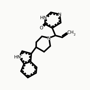 C=CC(c1cnc[nH]c1=O)N1CCC(c2c[nH]c3ccccc23)CC1